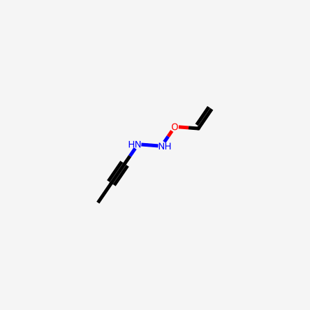 C=CONNC#CC